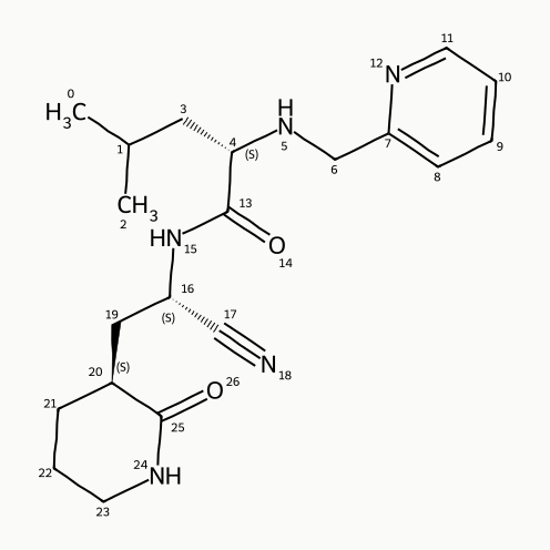 CC(C)C[C@H](NCc1ccccn1)C(=O)N[C@H](C#N)C[C@@H]1CCCNC1=O